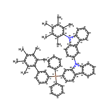 Bc1c(B)c(B)c(-c2cccc(S(c3ccccc3)(c3ccccc3)c3ccc4c5ccccc5n(-c5ccc6c(c5)c5ccccc5n6-c5c(B)c(B)c(B)c(B)c5B)c4c3)c2)c(B)c1B